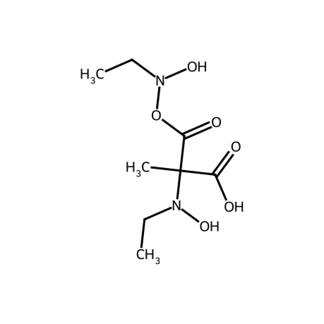 CCN(O)OC(=O)C(C)(C(=O)O)N(O)CC